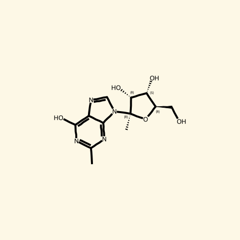 Cc1nc(O)c2ncn([C@]3(C)O[C@H](CO)[C@@H](O)[C@H]3O)c2n1